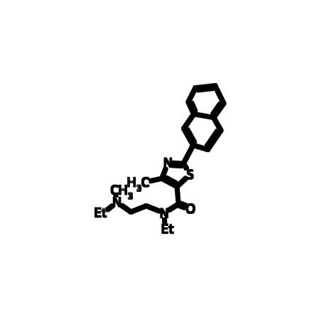 CCN(C)CCN(CC)C(=O)c1sc(-c2ccc3ccccc3c2)nc1C